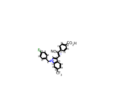 N#C/C(=C\c1cn(Cc2ccc(F)cc2)c2cc(C(F)(F)F)ccc12)c1ccc(C(=O)O)cc1